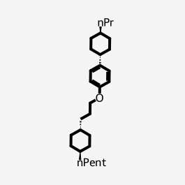 CCCCC[C@H]1CC[C@H](CCCOc2ccc([C@H]3CC[C@H](CCC)CC3)cc2)CC1